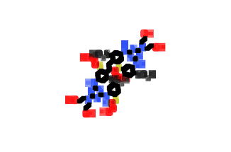 O=S(=O)(O)c1ccc(SOOO)c(Nc2nc(Nc3ccc(C=Cc4ccc(Nc5nc(Nc6cc(SOOO)ccc6S(=O)(=O)O)nc(N(CCO)CCO)n5)cc4S(=O)(=O)O)c(SOOO)c3)nc(N(CCO)CCO)n2)c1